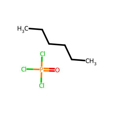 CCCCCC.O=P(Cl)(Cl)Cl